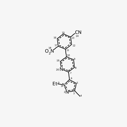 CCn1nc(C)cc1-c1ccc(-c2cc(C#N)ccc2[N+](=O)[O-])cn1